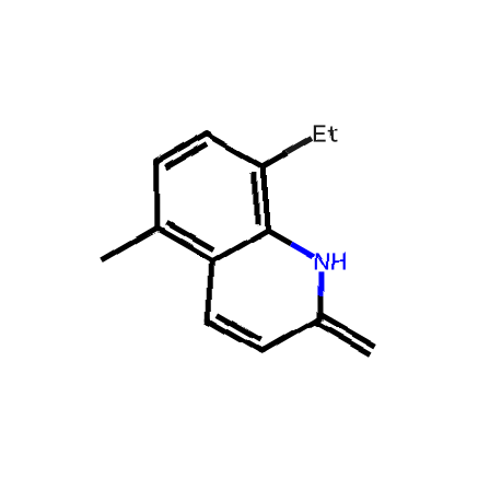 C=C1C=Cc2c(C)ccc(CC)c2N1